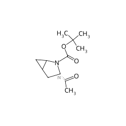 CC(=O)[C@@H]1CC2CC2N1C(=O)OC(C)(C)C